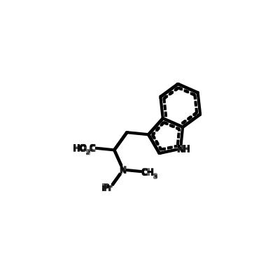 CC(C)N(C)C(Cc1c[nH]c2ccccc12)C(=O)O